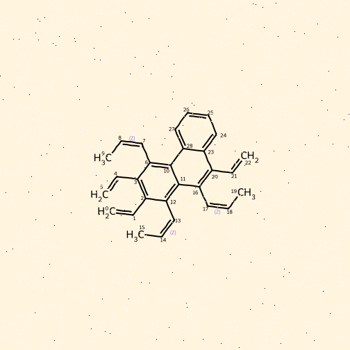 C=Cc1c(C=C)c(/C=C\C)c2c(c1/C=C\C)c(/C=C\C)c(C=C)c1ccccc12